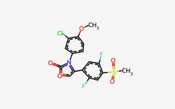 COc1ccc(-n2c(-c3cc(F)c(S(C)(=O)=O)cc3F)coc2=O)cc1Cl